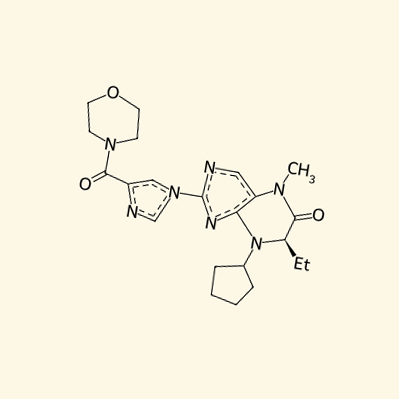 CC[C@@H]1C(=O)N(C)c2cnc(-n3cnc(C(=O)N4CCOCC4)c3)nc2N1C1CCCC1